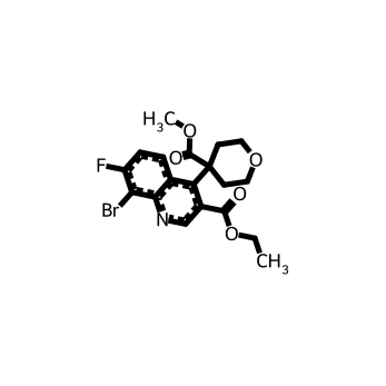 CCOC(=O)c1cnc2c(Br)c(F)ccc2c1C1(C(=O)OC)CCOCC1